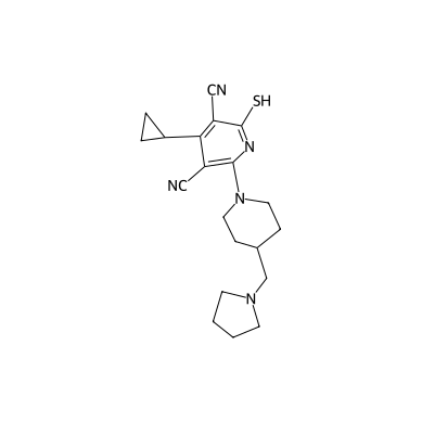 N#Cc1c(S)nc(N2CCC(CN3CCCC3)CC2)c(C#N)c1C1CC1